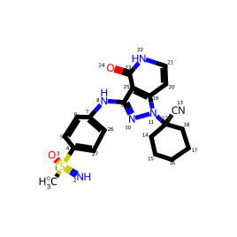 CS(=N)(=O)c1ccc(Nc2nn(C3(C#N)CCCCC3)c3cc[nH]c(=O)c23)cc1